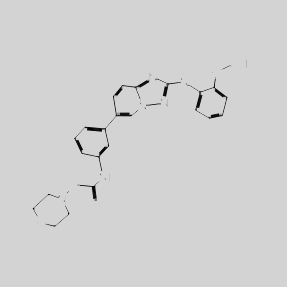 COc1ccccc1Nc1nc2ccc(-c3cccc(NC(=O)ON4CCOCC4)c3)cn2n1